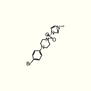 C[n+]1ccn(S(=O)(=O)N2CCN(c3ccc(Br)cc3)CC2)c1